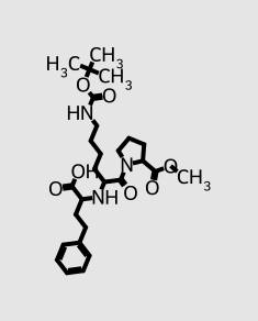 COC(=O)C1CCCN1C(=O)C(CCCCNC(=O)OC(C)(C)C)NC(CCc1ccccc1)C(=O)O